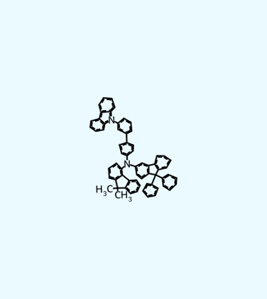 CC1(C)c2ccccc2-c2c(N(c3ccc(-c4cccc(-n5c6ccccc6c6ccccc65)c4)cc3)c3ccc4c(c3)-c3ccccc3C4(c3ccccc3)c3ccccc3)cccc21